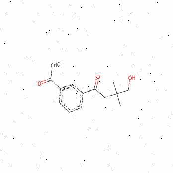 CC(C)(CO)CC(=O)c1cccc(C(=O)C=O)c1